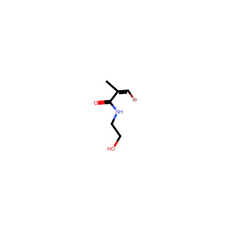 CC(=CBr)C(=O)NCCO